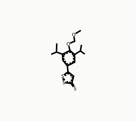 COCOc1c(C(C)C)cc(-c2cc(=S)ss2)cc1C(C)C